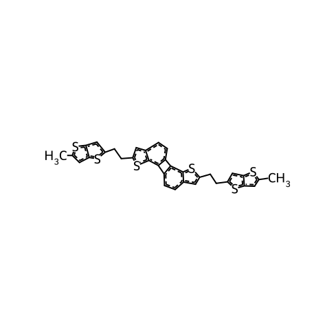 Cc1cc2sc(CCc3cc4ccc5c(c4s3)-c3ccc4cc(CCc6cc7sc(C)cc7s6)sc4c3-5)cc2s1